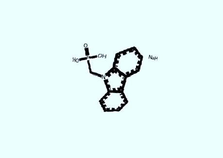 O=P(O)(O)Cn1c2ccccc2c2ccccc21.[NaH]